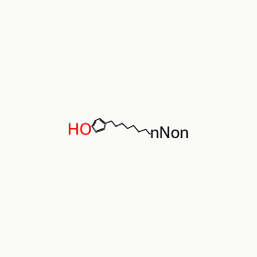 CCCCCCCCCCCCCCCCCc1ccc(O)cc1